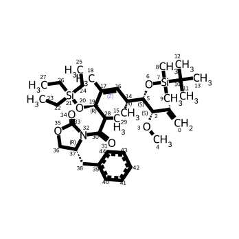 C=C[C@H](OC)[C@@H](O[Si](C)(C)C(C)(C)C)[C@H](C)/C=C(/C)[C@H](O[Si](CC)(CC)CC)C(C)C(=O)N1C(=O)OC[C@H]1Cc1ccccc1